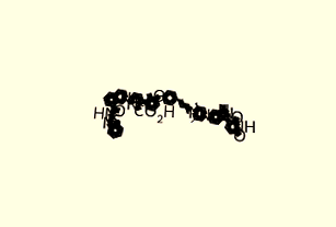 Cc1c(O[C@H]2CC[C@H](CCCCN3[C@@H](C)CN(c4ccc5c(C6CCC(=O)NC6=O)nn(C)c5c4)C[C@@H]3C)CC2)cccc1-c1ccc(N2CCc3cccc(C(=O)Nc4nc5ccccc5s4)c3C2)nc1C(=O)O